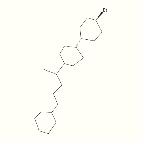 CC[C@H]1CC[C@H](C2CCC(C(C)CCCC3CCCCC3)CC2)CC1